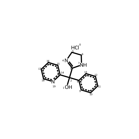 Cl.OC(C1=NCCN1)(c1ccccc1)c1ccccn1